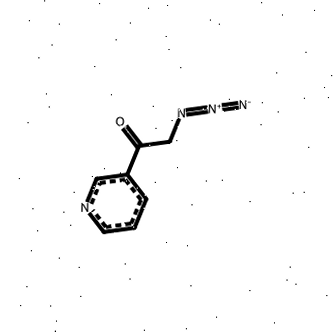 [N-]=[N+]=NCC(=O)c1cccnc1